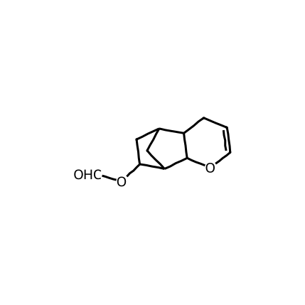 O=COC1CC2CC1C1OC=CCC21